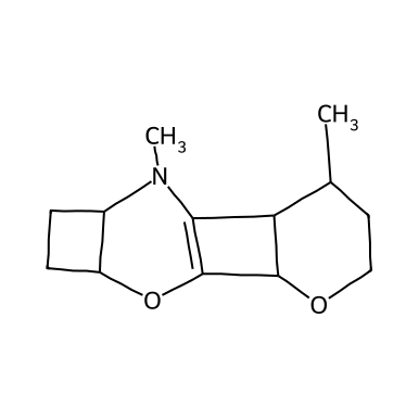 CC1CCOC2C3=C(C12)N(C)C1CCC1O3